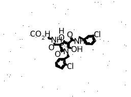 O=C(O)CNC(=O)c1c(O)c(C(=O)NCc2cccc(Cl)c2)c(O)n(Cc2ccccc2Cl)c1=O